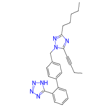 CCC#Cc1nc(CCCCC)nn1Cc1ccc(-c2ccccc2-c2nnn[nH]2)cc1